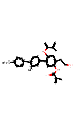 C=C(C)C(=C)Oc1cc(CCO)c(OC(=O)C(=C)C)cc1-c1ccc(-c2ccc(CCCCC)cc2)c(CC)c1